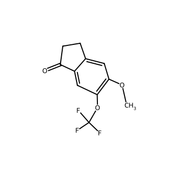 COc1cc2c(cc1OC(F)(F)F)C(=O)CC2